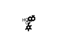 Cc1cc(C(=O)C[C@@H]2[C@@]3(C)CCCC(C)(C)C3CC[C@@]2(C)O)c(C)c(C)c1C